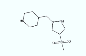 CS(=O)(=O)C1CNN(CC2CCNCC2)C1